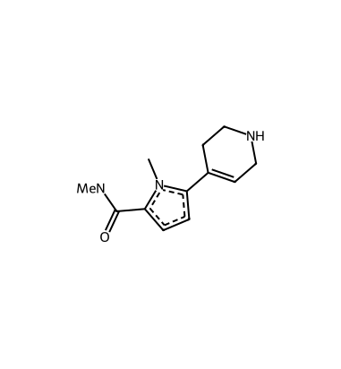 CNC(=O)c1ccc(C2=CCNCC2)n1C